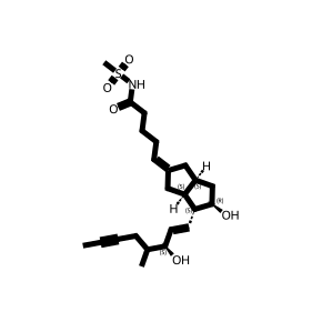 CC#CCC(C)[C@H](O)C=C[C@@H]1[C@H]2CC(=CCCCC(=O)NS(C)(=O)=O)C[C@H]2C[C@H]1O